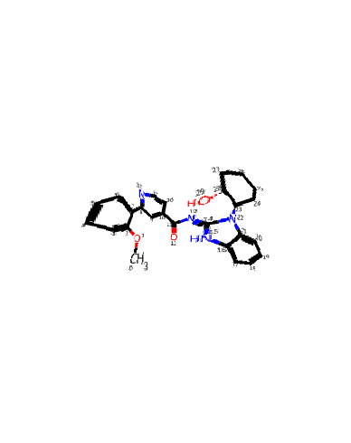 COc1ccccc1-c1cc(C(=O)/N=c2\[nH]c3ccccc3n2[C@@H]2CCCC[C@H]2O)ccn1